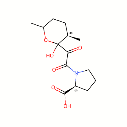 CC1CC[C@@H](C)C(O)(C(=O)C(=O)N2CCC[C@H]2C(=O)O)O1